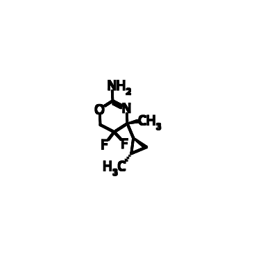 C[C@H]1C[C@@H]1[C@@]1(C)N=C(N)OCC1(F)F